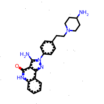 Nc1c2c(=O)[nH]c3ccccc3c2nn1-c1ccc(CCN2CCC(N)CC2)cc1